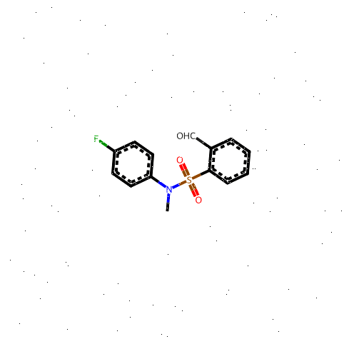 CN(c1ccc(F)cc1)S(=O)(=O)c1ccccc1C=O